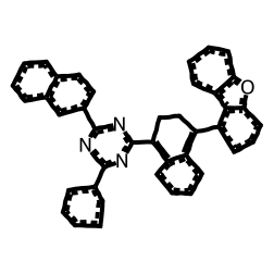 c1ccc(-c2nc(C3=c4ccccc4=C(c4cccc5oc6ccccc6c45)CC3)nc(-c3ccc4ccccc4c3)n2)cc1